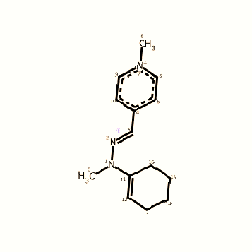 CN(/N=C/c1cc[n+](C)cc1)C1=CCCCC1